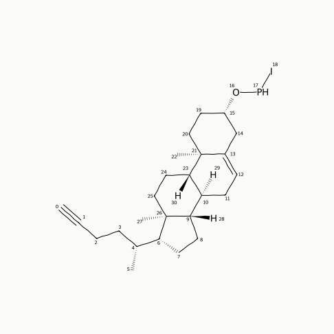 C#CCC[C@@H](C)[C@H]1CC[C@H]2[C@@H]3CC=C4C[C@@H](OPI)CC[C@]4(C)[C@H]3CC[C@]12C